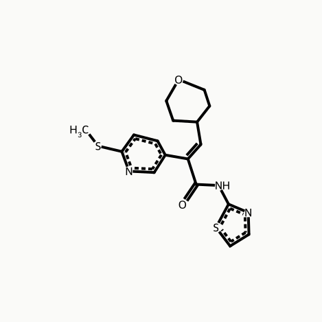 CSc1ccc(/C(=C\C2CCOCC2)C(=O)Nc2nccs2)cn1